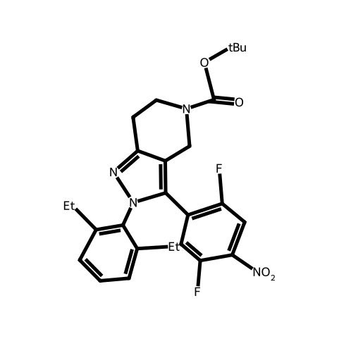 CCc1cccc(CC)c1-n1nc2c(c1-c1cc(F)c([N+](=O)[O-])cc1F)CN(C(=O)OC(C)(C)C)CC2